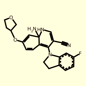 N#CC1=CNC2(N)C=C(OC3CCOC3)C=CC2=C1N1CCc2ccc(F)cc21